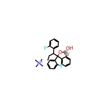 CCC(c1ccccc1F)C(OB([O-])O)(c1ccccc1F)c1ccccc1F.C[N+](C)(C)C